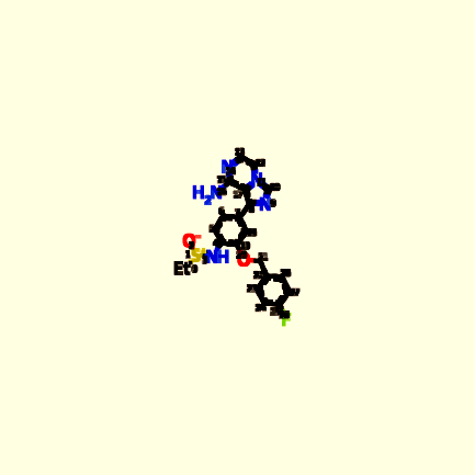 CC[S+]([O-])Nc1ccc(-c2ncn3ccnc(N)c23)cc1OCc1ccc(F)cc1